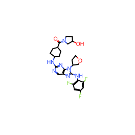 O=C(C1CCC(Nc2ncc3nc(Nc4c(F)cc(F)cc4F)n(C4CCOC4)c3n2)CC1)N1CCC(O)C1